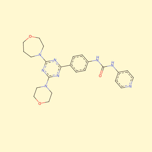 O=C(Nc1ccncc1)Nc1ccc(-c2nc(N3CCCOCC3)nc(N3CCOCC3)n2)cc1